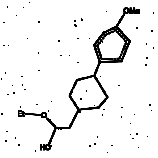 CCOC(O)CC1CCC(c2ccc(OC)cc2)CC1